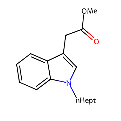 CCCCCCCn1cc(CC(=O)OC)c2ccccc21